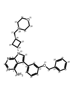 Nc1ncnc2c1c(-c1cccc(OCc3ccccc3)c1)cn2[C@H]1C[C@H](CN2CCOCC2)C1